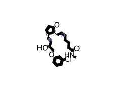 CNC(=O)CCC/C=C\C[C@H]1C(=O)C=C[C@@H]1/C=C/[C@@H](O)COc1cccc(Cl)c1